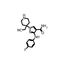 N#CCC1(n2cc(C(N)=O)c(Nc3ccc(F)cc3)n2)CCNCC1